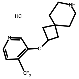 Cl.FC(F)(F)c1ccncc1OC1CC2(CCNCC2)C1